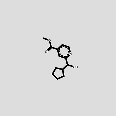 COC(=O)c1ccnc(C(O)C2CCCC2)c1